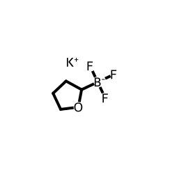 F[B-](F)(F)C1CCCO1.[K+]